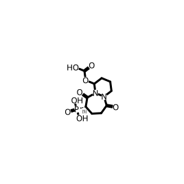 O=C(O)OC1CCCN2C(=O)CC[C@H](P(=O)(O)O)C(=O)N12